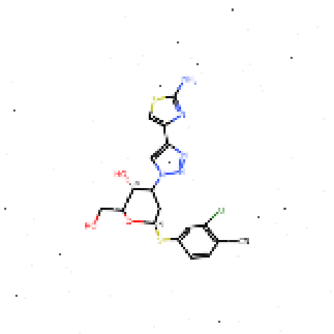 N#Cc1ccc(S[C@@H]2CC(n3cc(-c4csc(N)n4)nn3)[C@@H](O)C(CO)O2)cc1Cl